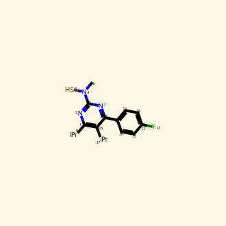 CC(C)c1nc(N(C)S)nc(-c2ccc(F)cc2)c1C(C)C